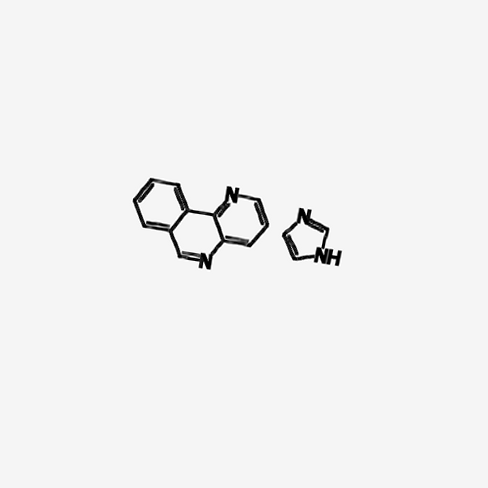 c1c[nH]cn1.c1ccc2c(c1)cnc1cccnc12